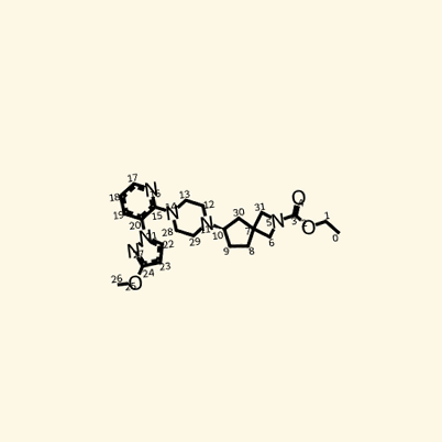 CCOC(=O)N1CC2(CC[C@@H](N3CCN(c4ncccc4-n4ccc(OC)n4)CC3)C2)C1